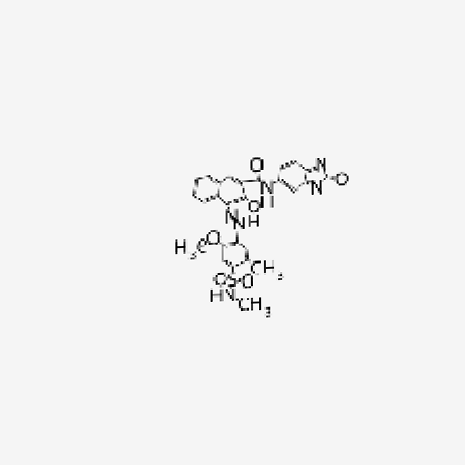 CNS(=O)(=O)c1cc(OC)c(N=Nc2c(O)c(C(=O)Nc3ccc4c(c3)=NC(=O)N=4)cc3ccccc23)cc1C